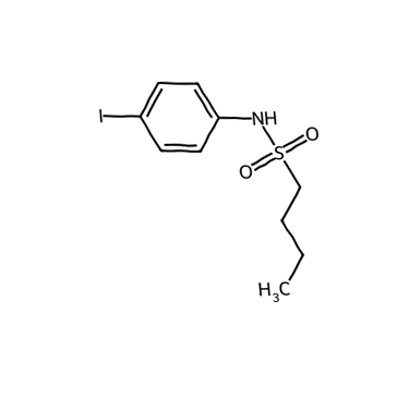 CCCCS(=O)(=O)Nc1ccc(I)cc1